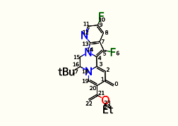 C=C1C=C2c3c(F)c4cc(F)cnc4n3CC(C(C)(C)C)N2C=C1C(=C)OCC